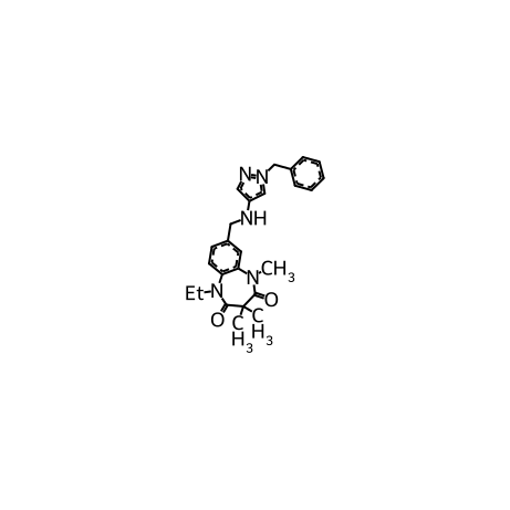 CCN1C(=O)C(C)(C)C(=O)N(C)c2cc(CNc3cnn(Cc4ccccc4)c3)ccc21